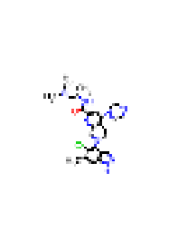 Cc1cc2[nH]ncc2c(N2CCc3c(N4CCNCC4)cc(C(=O)NC(C)CN(C)C)nc3C2)c1Cl